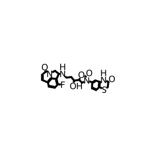 O=C1CSc2ccc(N3CC(C(O)CCNC4Cn5c(=O)ccc6ccc(F)c4c65)OC3=O)cc2N1